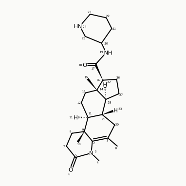 CC1=C2N(C)C(=O)CC[C@]2(C)[C@H]2CC[C@]3(C)[C@@H](C(=O)NC4CCCNC4)CC[C@H]3[C@@H]2C1